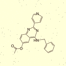 CC(=O)Oc1ccc2nc(-c3ccncc3)nc(NCc3ccccc3)c2c1